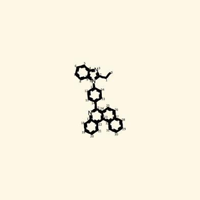 CCc1nc2ccccc2n1-c1ccc(-c2nc3ccccc3c3c2ccc2ccccc23)cc1